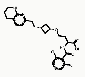 O=C(NC(CCO[C@H]1C[C@@H](CCc2ccc3c(n2)NCCC3)C1)C(=O)O)c1c(Cl)cncc1Cl